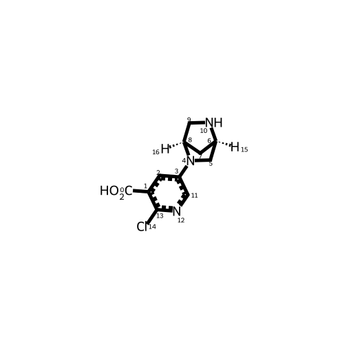 O=C(O)c1cc(N2C[C@H]3C[C@@H]2CN3)cnc1Cl